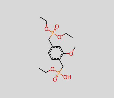 CCOP(=O)(O)Cc1ccc(CP(=O)(OCC)OCC)cc1OC